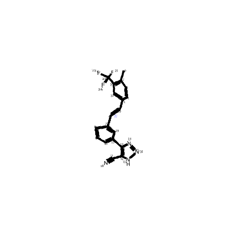 Cc1ccc(/C=C/c2cccc(-c3nn[nH]c3C#N)c2)cc1C(F)(F)F